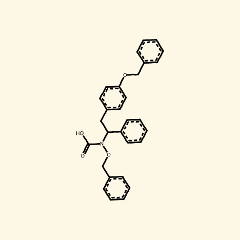 O=C(O)N(OCc1ccccc1)C(Cc1ccc(OCc2ccccc2)cc1)c1ccccc1